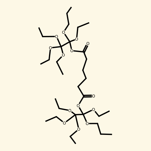 CCCOC(OCC)(OC(=O)CCCCC(=O)OC(OCC)(OCCC)C(OCC)(OCC)OCC)C(OCC)(OCC)OCC